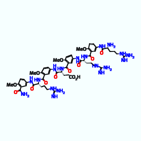 COc1ccc(NC(=O)[C@@H](CCCNC(=N)N)NC(=O)c2cc(NC(=O)[C@@H](CCC(=O)O)NC(=O)c3cc(NC(=O)[C@@H](CCCNC(=N)N)NC(=O)c4cc(NC(=O)[C@H](N)CCCNC(=N)N)ccc4OC)ccc3OC)ccc2OC)cc1C(N)=O